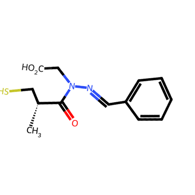 C[C@H](CS)C(=O)N(CC(=O)O)N=Cc1ccccc1